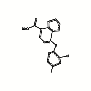 CO/C=C(/C(=O)OC)c1ccccc1COc1ccc(C)cc1Cl